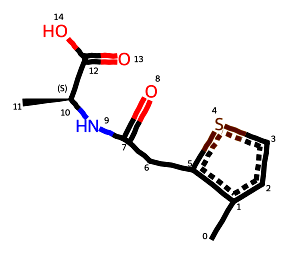 Cc1ccsc1CC(=O)N[C@@H](C)C(=O)O